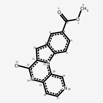 COC(=O)c1ccc2c(c1)cc1c(Cl)nc3ccncc3n12